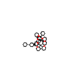 c1ccc(-c2ccc(N(c3ccc4c(c3)-c3ccccc3C4(c3ccccc3)c3ccccc3)c3ccccc3C3(c4ccccc4)c4ccccc4-c4ccccc4-c4ccccc43)cc2)cc1